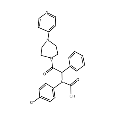 O=C(C(c1ccccc1)N(C(=O)O)c1ccc(Cl)cc1)N1CCN(c2ccncc2)CC1